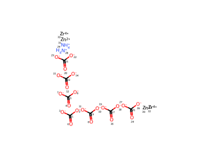 O=C([O-])[O-].O=C([O-])[O-].O=C([O-])[O-].O=C([O-])[O-].O=C([O-])[O-].O=C([O-])[O-].O=C([O-])[O-].[NH4+].[NH4+].[Zn+2].[Zn+2].[Zr+4].[Zr+4]